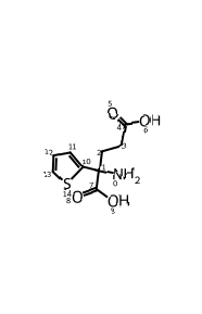 NC(CCC(=O)O)(C(=O)O)c1cccs1